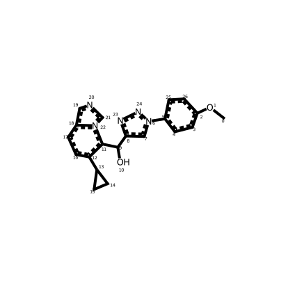 COc1ccc(-n2cc(C(O)c3c(C4CC4)ccc4cncn34)nn2)cc1